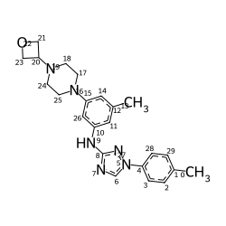 Cc1ccc(-n2cnc(Nc3cc(C)cc(N4CCN(C5COC5)CC4)c3)n2)cc1